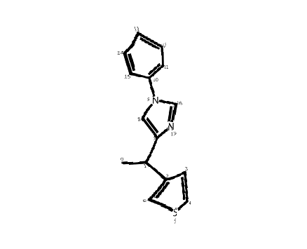 CC(c1ccsc1)c1cn(-c2c[c]ccc2)cn1